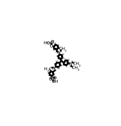 CCN(CC)c1ccc(C(c2ccc(N(CC)Cc3cccc(OS(=O)O)c3)cc2)c2ccc(N(CC)Cc3cccc(S(=O)(=O)O)c3)cc2)cc1